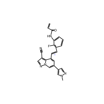 C=CC(=O)Nc1cccc(/C=C/c2cc(-c3cnn(C)c3)cn3ncc(C#N)c23)c1F